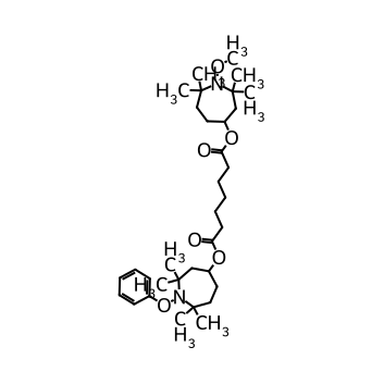 CON1C(C)(C)CCC(OC(=O)CCCCCC(=O)OC2CCC(C)(C)N(Oc3ccccc3)C(C)(C)C2)CC1(C)C